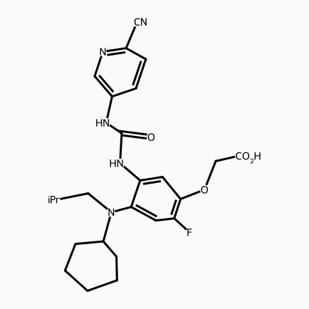 CC(C)CN(c1cc(F)c(OCC(=O)O)cc1NC(=O)Nc1ccc(C#N)nc1)C1CCCCC1